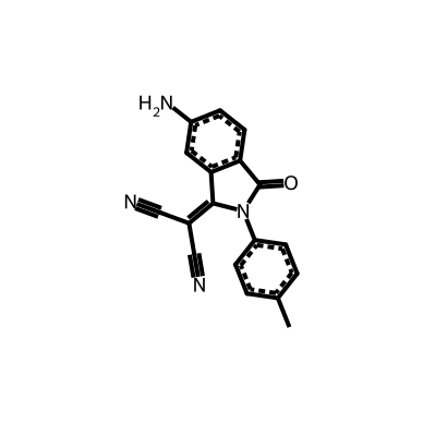 Cc1ccc(N2C(=O)c3ccc(N)cc3C2=C(C#N)C#N)cc1